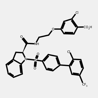 O=C(O)c1ccc(OCCNC(=O)[C@@H]2Cc3ccccc3N2S(=O)(=O)c2ccc(-c3cc(C(F)(F)F)ccc3Cl)cc2)cc1Cl